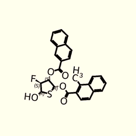 Cc1c(C(=O)O[C@@H]2S[C@@H](O)[C@@H](F)[C@@H]2OC(=O)c2ccc3ccccc3c2)ccc2ccccc12